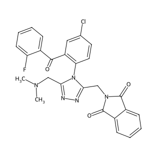 CN(C)Cc1nnc(CN2C(=O)c3ccccc3C2=O)n1-c1ccc(Cl)cc1C(=O)c1ccccc1F